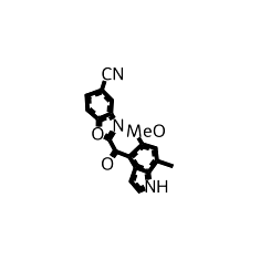 COc1cc(C)c2[nH]ccc2c1C(=O)c1nc2cc(C#N)ccc2o1